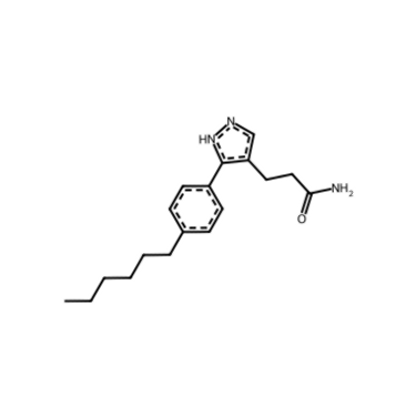 CCCCCCc1ccc(-c2[nH]ncc2CCC(N)=O)cc1